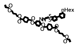 C=CC(=O)OCCCCOC(=O)C1CCC(C(=O)Oc2ccc(OC(=O)C3CCC(C(=O)OCCCCOC(=O)C=C)CC3)c(/N=N/C=C3\Sc4ccc(-c5cccc(CCCCCC)c5)cc4S3)c2)CC1